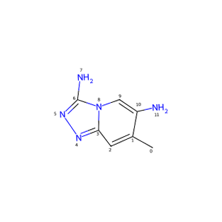 Cc1cc2nnc(N)n2cc1N